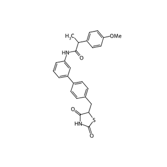 COc1ccc(C(C)C(=O)Nc2cccc(-c3ccc(CC4SC(=O)NC4=O)cc3)c2)cc1